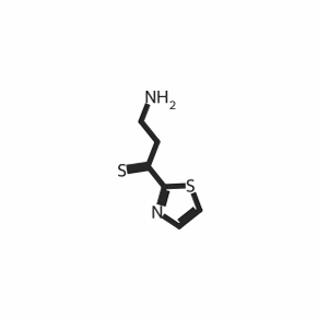 NCCC(=S)c1nccs1